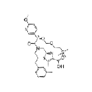 COc1ccc([C@@H](OCOCC[Si](C)(C)C)C(=O)N(CCCc2cccc(C)c2)Cc2nc(C(=O)O)c(C)s2)cn1